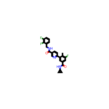 Cc1c(F)cc(C(=O)NC2CC2)cc1-c1ccc(C(=O)NCc2cccc(F)c2F)cn1